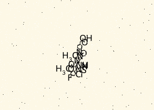 COC(=O)C1=C(CN2CCN3C(=O)N(c4ccc(CC(=O)O)cc4)CC3(C)C2)NC(c2nccs2)=NC1c1ccc(F)cc1Cl